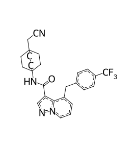 N#CCC12CCC(NC(=O)c3cnn4cccc(Cc5ccc(C(F)(F)F)cc5)c34)(CC1)CC2